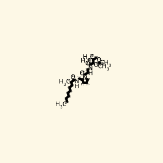 CCCCCCCCC(C)C(=O)NCC1CCCN1C(=O)CCNC(=O)C1OC(C)(C)OCC1(C)C